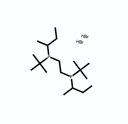 Br.Br.CCC(C)P(CCP(C(C)CC)C(C)(C)C)C(C)(C)C